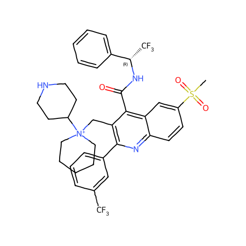 CS(=O)(=O)c1ccc2nc(-c3cccc(C(F)(F)F)c3)c(C[N+]3(C4CCNCC4)CCCCC3)c(C(=O)N[C@H](c3ccccc3)C(F)(F)F)c2c1